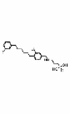 O=P(O)(O)CCCNCc1ccc(CCCCCCc2cccc(F)c2)c(Cl)c1